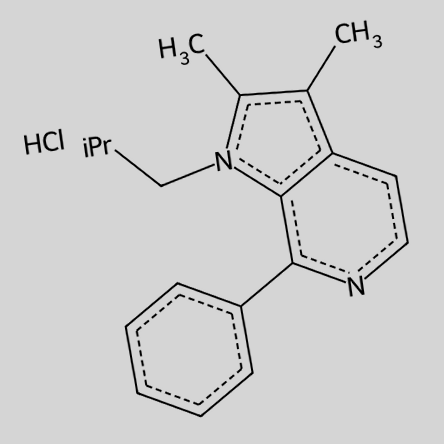 Cc1c(C)n(CC(C)C)c2c(-c3ccccc3)nccc12.Cl